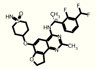 Cc1nc(N[C@H](C)c2cccc(C(F)F)c2F)c2cc(OC3CCS(=N)(=O)CC3)c3c(c2n1)CCO3